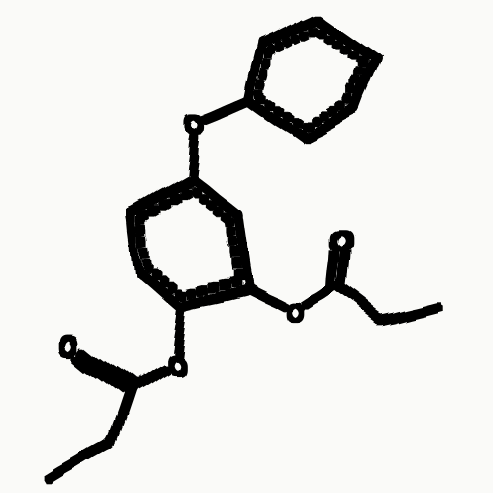 CCC(=O)Oc1ccc(Oc2ccccc2)cc1OC(=O)CC